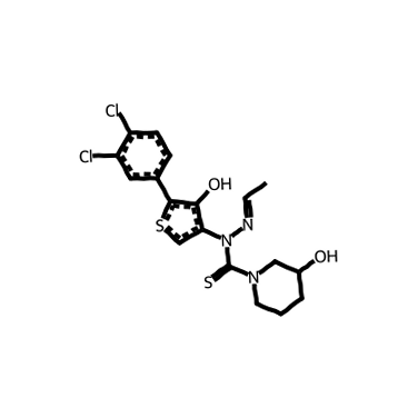 CC=NN(C(=S)N1CCCC(O)C1)c1csc(-c2ccc(Cl)c(Cl)c2)c1O